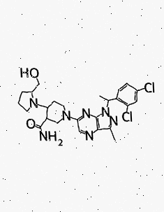 Cc1nn(C(C)c2ccc(Cl)cc2Cl)c2nc(N3CCC(N4CCCC4CO)C(C(N)=O)C3)cnc12